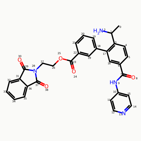 CC(N)c1ccc(C(=O)Nc2ccncc2)cc1-c1cccc(C(=O)OCCN2C(=O)c3ccccc3C2=O)c1